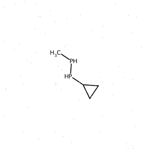 CPPC1CC1